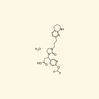 O.O=C(O)CC(c1ccc(OC(F)F)nc1)N1CCN(CCCc2ccc3c(n2)NCCC3)C1=O